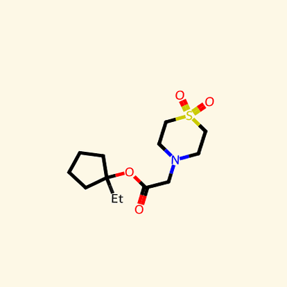 CCC1(OC(=O)CN2CCS(=O)(=O)CC2)CCCC1